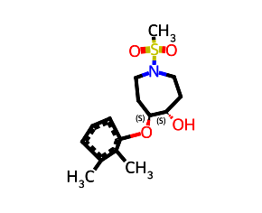 Cc1cccc(O[C@H]2CCN(S(C)(=O)=O)CC[C@@H]2O)c1C